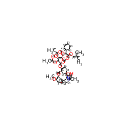 COc1ccc2c3c1O[C@@H]1C[C@@](O)(CC=C1OC(=O)[C@H](OC(C)=O)[C@@H](OC(C)=O)C(=O)O[C@H](C(=O)OCC(C)C)c1ccccc1)[C@@H](C2)N(C)CCC3